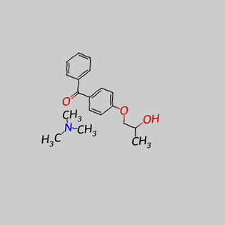 CC(O)COc1ccc(C(=O)c2ccccc2)cc1.CN(C)C